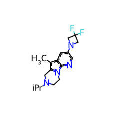 Cc1c2n(c3ncc(N4CC(F)(F)C4)cc13)CCN(C(C)C)C2